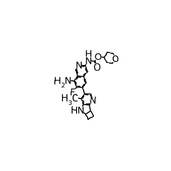 Cc1c(-c2cc3cc(NC(=O)OC4CCOCC4)ncc3c(N)c2F)cnc2c1NC1CCC21